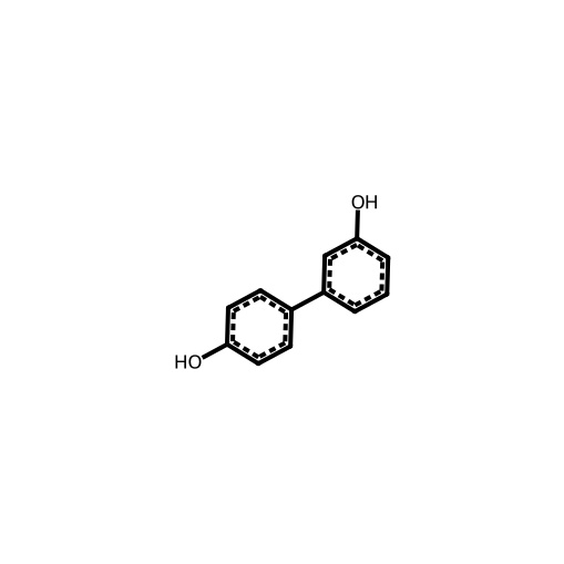 Oc1ccc(-c2cccc(O)c2)cc1